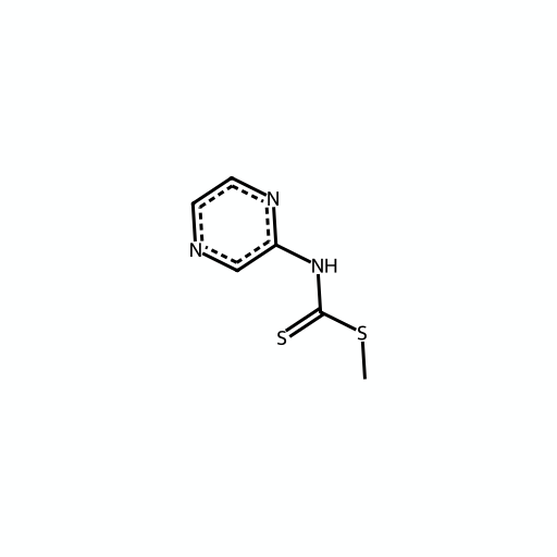 CSC(=S)Nc1cnccn1